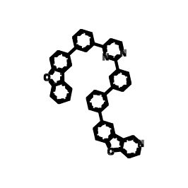 c1cc(-c2cccc(-c3nccc(-c4cccc(-c5ccc6oc7ccccc7c6c5)c4)n3)c2)cc(-c2ccc3oc4ccncc4c3c2)c1